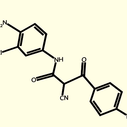 N#CC(C(=O)Nc1ccc([N+](=O)[O-])c(Cl)c1)C(=O)c1ccc(Br)cc1